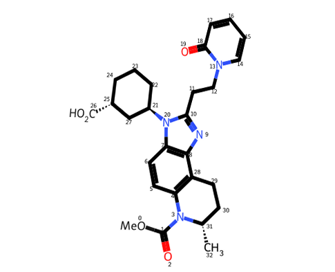 COC(=O)N1c2ccc3c(nc(CCn4ccccc4=O)n3[C@@H]3CCC[C@@H](C(=O)O)C3)c2CC[C@@H]1C